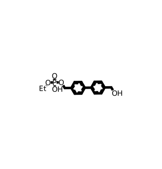 CCOP(=O)(O)OCc1ccc(-c2ccc(CO)cc2)cc1